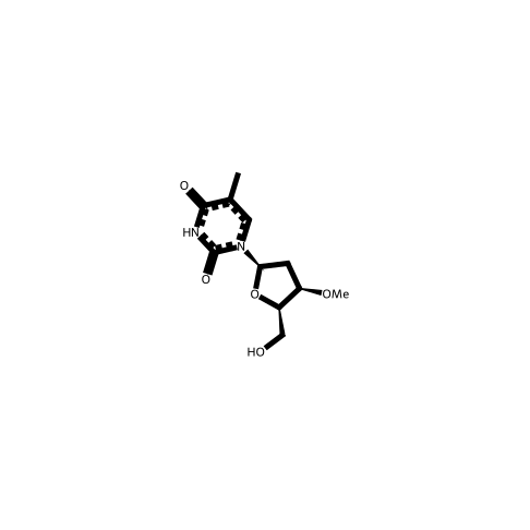 CO[C@@H]1C[C@H](n2cc(C)c(=O)[nH]c2=O)O[C@@H]1CO